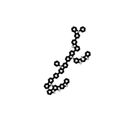 c1ccc(-n2c3ccccc3c3cc(-c4ccc5oc6c(-c7ccc8c9ccc(-c%10ccc%11c%12ccc(-c%13ccc(-c%14ccc%15c%16ccccc%16n(-c%16cc%17c%18cc%19c(cc%18oc%17c%17sc%18ccccc%18c%16%17)oc%16ccccc%16%19)c%15c%14)cc%13)cc%12n(-c%12ccccc%12)c%11c%10)cc9n(-c9ccc%10oc%11cc%12oc%13ccccc%13c%12nc%11c%10c9)c8c7)cccc6c5c4)ccc32)cc1